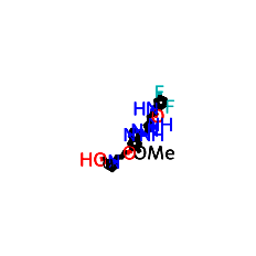 COc1cc2c(Nc3cc(CC(=O)Nc4cc(F)cc(F)c4)[nH]n3)ncnc2cc1OCCCN1CCC[C@H]1CO